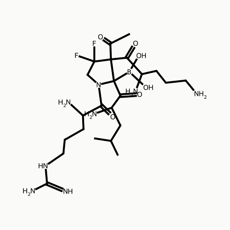 CC(=O)C1(C(=O)C(N)CCCN)C(F)(F)CN(C(=O)C(N)CCCNC(=N)N)C1(B(O)O)C(=O)C(N)CC(C)C